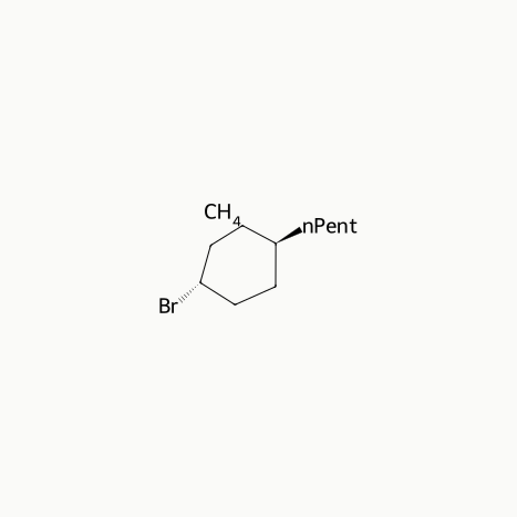 C.CCCCC[C@H]1CC[C@H](Br)CC1